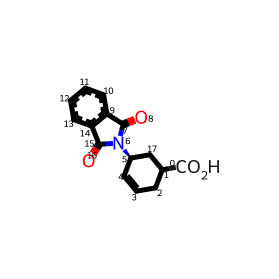 O=C(O)C1CC=C[C@@H](N2C(=O)c3ccccc3C2=O)C1